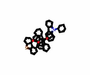 c1ccc(-c2c3ccccc3c(-c3cccc4sc5cccc(-c6c7ccccc7c(-c7ccc8c(c7)c7ccccc7n8-c7ccccc7)c7ccccc67)c5c34)c3ccccc23)cc1